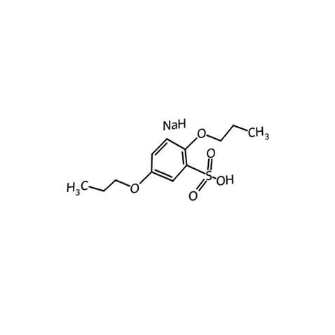 CCCOc1ccc(OCCC)c(S(=O)(=O)O)c1.[NaH]